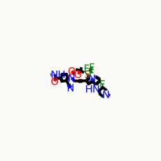 CNC(=O)c1ccc(N(CC#Cc2cc3c(N[C@@H]4CCN(C)C[C@@H]4F)cccn3c2SC(F)(F)F)C(=O)OC(C)(C)C)c(C#N)c1